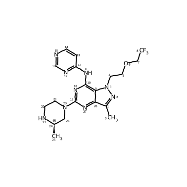 Cc1nn(CCOCC(F)(F)F)c2c(Nc3ccncn3)nc(N3CCN[C@H](C)C3)nc12